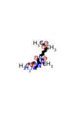 CCOCn1c(CN)nc2c1c(=O)n(CCCC[C@@H](C)OC(C)=O)c(=O)n2C